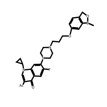 CB1OCc2ccc(OCCCN3CCN(c4cc5c(cc4F)c(=O)c(C(C)=O)cn5C4CC4)CC3)cc21